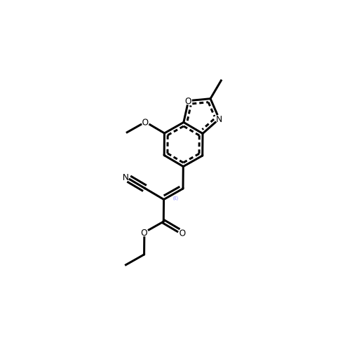 CCOC(=O)/C(C#N)=C/c1cc(OC)c2oc(C)nc2c1